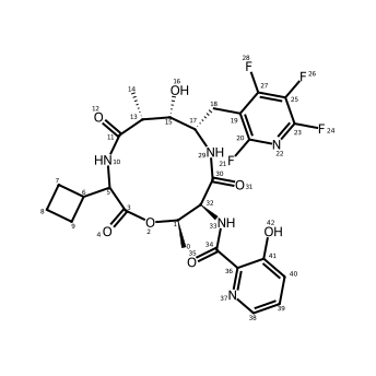 C[C@H]1OC(=O)C(C2CCC2)NC(=O)[C@H](C)[C@H](O)[C@H](Cc2c(F)nc(F)c(F)c2F)NC(=O)[C@H]1NC(=O)c1ncccc1O